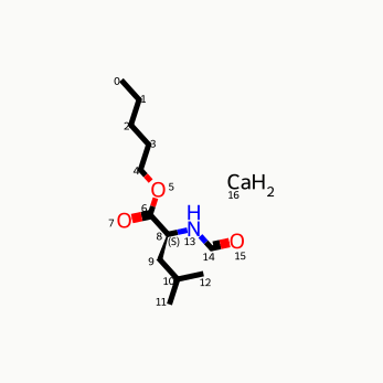 CCCCCOC(=O)[C@H](CC(C)C)NC=O.[CaH2]